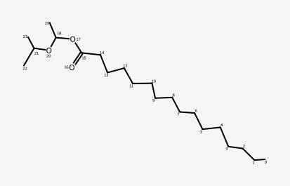 CCCCCCCCCCCCCCCC(=O)OC(C)OC(C)C